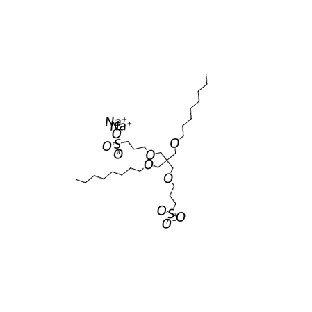 CCCCCCCCOCC(COCCCCCCCC)(COCCCS(=O)(=O)[O-])COCCCS(=O)(=O)[O-].[Na+].[Na+]